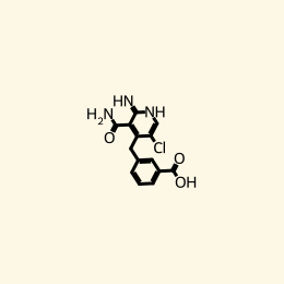 N=c1[nH]cc(Cl)c(Cc2cccc(C(=O)O)c2)c1C(N)=O